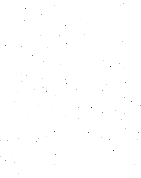 O=CN1CC(c2ccccc2)C(c2ccccc2)C1